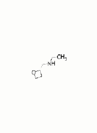 CCNC[C@@H]1CCO1